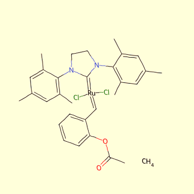 C.CC(=O)Oc1ccccc1[CH]=[Ru]([Cl])([Cl])=[C]1N(c2c(C)cc(C)cc2C)CCN1c1c(C)cc(C)cc1C